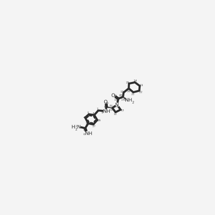 N=C(N)c1ccc(CNC(=O)[C@@H]2CCN2C(=O)[C@H](N)CC2CCCCC2)cc1